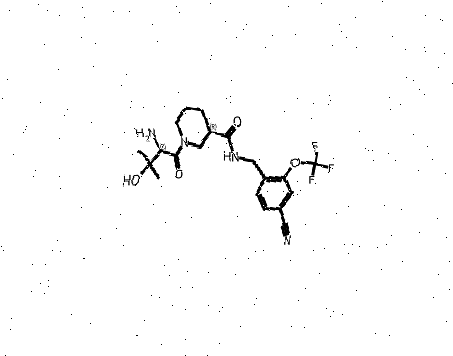 CC(C)(O)[C@@H](N)C(=O)N1CCC[C@@H](C(=O)NCc2ccc(C#N)cc2OC(F)(F)F)C1